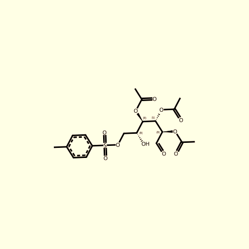 CC(=O)O[C@@H]([C@H](OC(C)=O)[C@H](C=O)OC(C)=O)[C@H](O)COS(=O)(=O)c1ccc(C)cc1